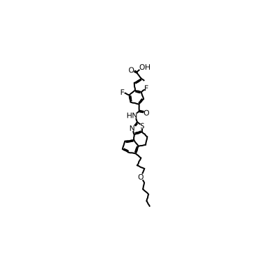 CCCCCOCCCc1cccc2c1CCc1sc(NC(=O)c3cc(F)c(C=C(C)C(=O)O)c(F)c3)nc1-2